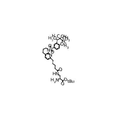 CC1c2cc(S(=O)(=O)N3CCCc4ccc(CCCCC(=O)NCC(N)C(=O)OC(C)(C)C)nc43)ccc2OC(C)(C)C1(C)C